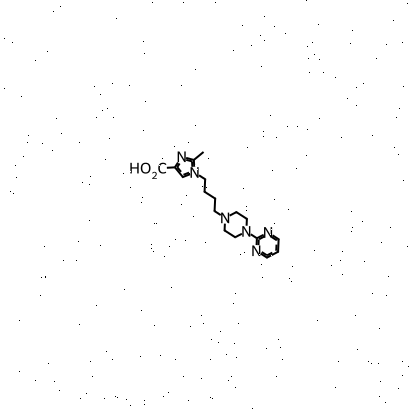 Cc1nc(C(=O)O)cn1CCCCN1CCN(c2ncccn2)CC1